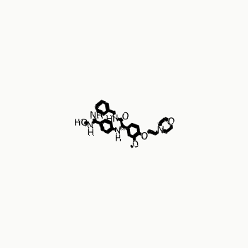 COc1cc([C@H](Nc2ccc(C(=N)NO)cc2)C(=O)NCc2ccccc2)ccc1OCCN1CCOCC1